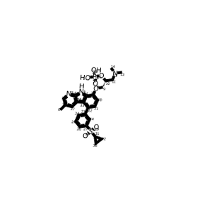 Cc1cnc2[nH]c3c(OC[C@@H](CN(C)C)OP(=O)(O)O)ccc(-c4cccc(S(=O)(=O)C5CC5)c4)c3c2c1